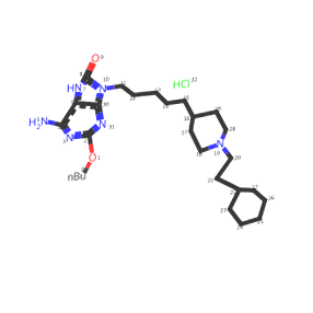 CCCCOc1nc(N)c2[nH]c(=O)n(CCCCCC3CCN(CCC4CCCCC4)CC3)c2n1.Cl